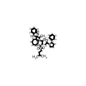 CC(C)CCS(=O)(=O)N[C@@H](CC(=O)N1CCC[C@@H]1c1ccccc1)C(=O)NC(C)C1(C2CCCCCC2)Nc2ccccc2N1